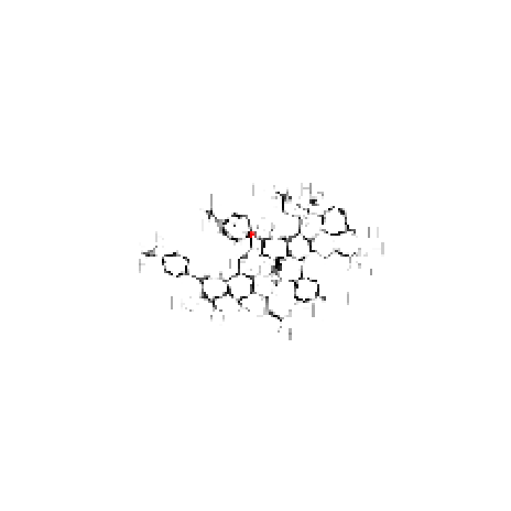 CC(C)=CCc1c(OS(=O)(=O)c2ccc(C)cc2-c2c(CC=C(C)C)c(-c3cc(C)ccc3S(=O)(=O)O)c(CC=C(C)C)c3oc(-c4ccc(C(F)(F)F)cc4)c(O)c(=O)c23)c(CC=C(C)C)c2oc(-c3ccc(C(F)(F)F)cc3)c(O)c(=O)c2c1O